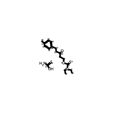 CCN(CC)C(=S)OCCC(=O)CCc1ccc(C)cc1.NC(O)=S